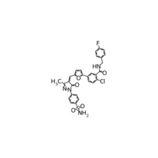 CC1=NN(c2ccc(S(N)(=O)=O)cc2)C(=O)/C1=C\c1ccc(-c2ccc(Cl)c(C(=O)NCc3ccc(F)cc3)c2)o1